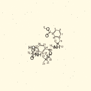 COC(=O)c1cccc(CC(C)(C)NC[C@H](O[Si](C)(C)C(C)(C)C)c2ccc(O)c(NS(C)(=O)=O)c2)c1